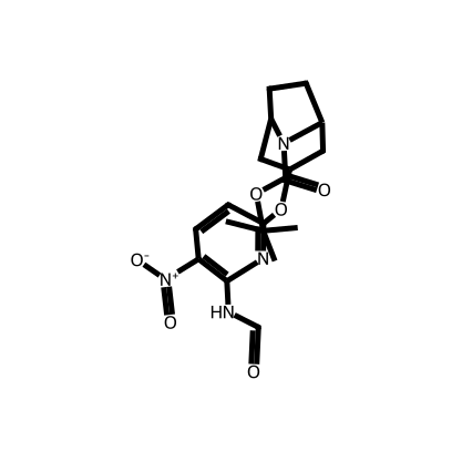 CC(C)(C)OC(=O)N1C2CCC1CC(Oc1ccc([N+](=O)[O-])c(NC=O)n1)C2